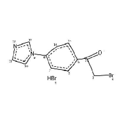 Br.O=C(CBr)c1ccc(-n2ccnc2)cc1